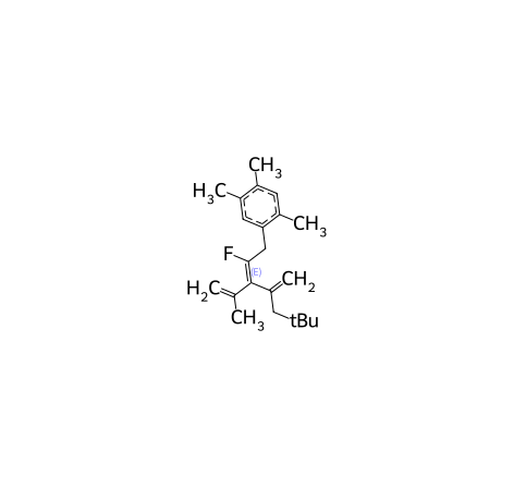 C=C(C)/C(C(=C)CC(C)(C)C)=C(\F)Cc1cc(C)c(C)cc1C